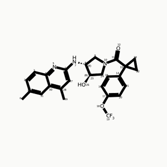 Cc1ccc2nc(N[C@@H]3CN(C(=O)C4(c5ccc(OC(F)(F)F)cc5)CC4)C[C@H]3O)cc(C)c2c1